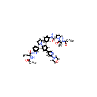 COC(=O)N[C@H](C(=O)Nc1ccc([C@@H]2CC[C@@H](c3ccc(NC(=O)[C@@H]4CCCN4C(=O)[C@@H](NC(=O)OC)C(C)C)cc3)N2c2ccc(-c3ccc(N4CCOCC4)nc3)cc2)cc1)C(C)C